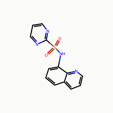 O=S(=O)(Nc1cccc2cccnc12)c1ncccn1